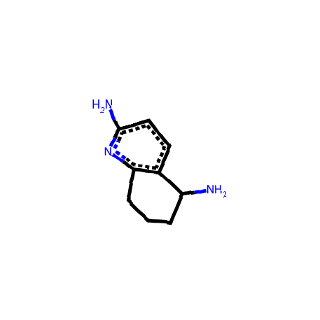 Nc1ccc2c(n1)CCCC2N